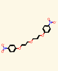 O=[N+]([O-])c1ccc(OC=CCOCC=COc2ccc([N+](=O)[O-])cc2)cc1